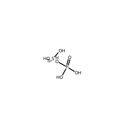 O=P(O)(O)O.O=S(=O)(O)O.[Ti]